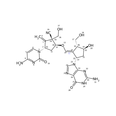 C=C1[C@@H](n2ccc(N)nc2=O)C[C@H](O/C=C2\[C@H](CO)[C@@H](O)C[C@@H]2n2cnc3c(=O)[nH]c(N)nc32)[C@@]1(C#N)CO